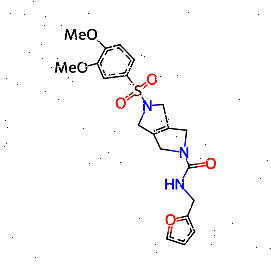 COc1ccc(S(=O)(=O)N2CC3=C(CN(C(=O)NCc4ccco4)C3)C2)cc1OC